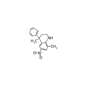 Cc1cc([N+](=O)[O-])cc2c1NCCC2(C)c1ccccc1